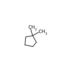 [CH2]C1(C)CCCC1